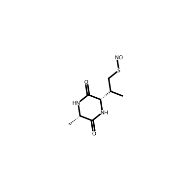 [CH2][C@@H]1NC(=O)[C@H](C(C)CSN=O)NC1=O